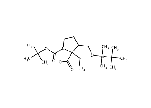 CCC1(C(=O)O)C(CO[Si](C)(C)C(C)(C)C)CCN1C(=O)OC(C)(C)C